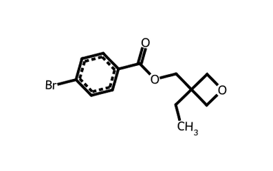 CCC1(COC(=O)c2ccc(Br)cc2)COC1